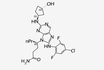 CCC[C@H](CCC(N)=O)n1c(Nc2c(F)cc(Cl)cc2F)nc2cnc(N[C@H]3CC[C@H](O)C3)nc21